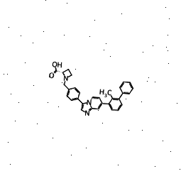 Cc1c(-c2ccccc2)cccc1-c1ccn2c(-c3ccc(CN4CC[C@H]4C(=O)O)cc3)cnc2c1